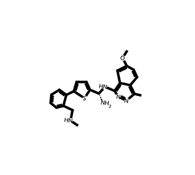 CNCc1ccccc1-c1ccc([C@@H](N)Nc2nnc(C)c3ccc(OC)cc23)s1